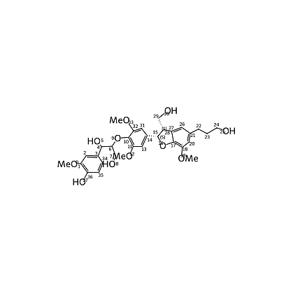 COc1cc(C(O)C(CO)Oc2c(OC)cc([C@H]3Oc4c(OC)cc(CCCO)cc4[C@H]3CO)cc2OC)ccc1O